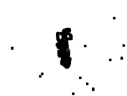 C=CC(=O)Oc1ccc(/[N+]([O-])=N/c2ccccc2)cc1